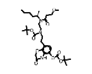 CCCC[C@@H](C)N(CCN(CCc1ccc(OC(=O)OC(C)(C)C)c2c1OCC(=O)N2)C(=O)OC(C)(C)C)C(=O)CCOC